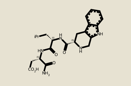 CC(C)C[C@H](NC(=O)[C@@H]1Cc2c([nH]c3ccccc23)CN1)C(=O)N[C@@H](CC(=O)O)C(N)=O